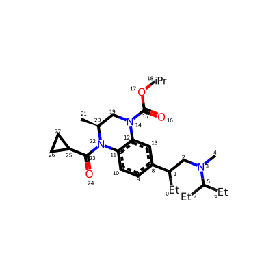 CCC(CN(C)C(CC)CC)c1ccc2c(c1)N(C(=O)OC(C)C)C[C@H](C)N2C(=O)C1CC1